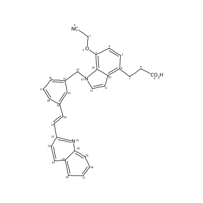 N#CCOc1ccc(CCC(=O)O)c2ccn(Cc3cccc(C=Cc4ccc5ccccc5n4)c3)c12